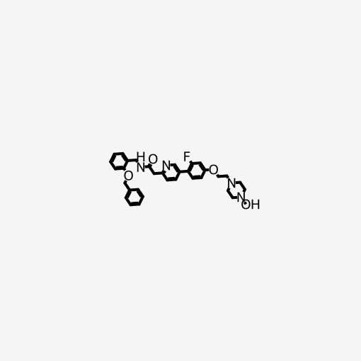 O=C(Cc1ccc(-c2ccc(OCCN3CCN(O)CC3)cc2F)cn1)NCc1ccccc1OCc1ccccc1